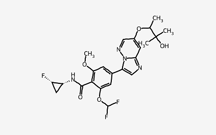 COc1cc(-c2cnc3cc(OC(C)C(C)(C)O)cnn23)cc(OC(F)F)c1C(=O)N[C@@H]1C[C@@H]1F